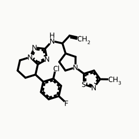 C=CC(Nc1nc2n(n1)CCCC2c1ccc(F)cc1Cl)C1CCN(c2cc(C)ns2)C1